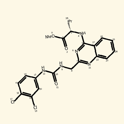 COC(=O)[C@@H](Nc1nc(CNC(=O)Nc2ccc(Cl)c(Cl)c2)nc2ccccc12)C(C)C